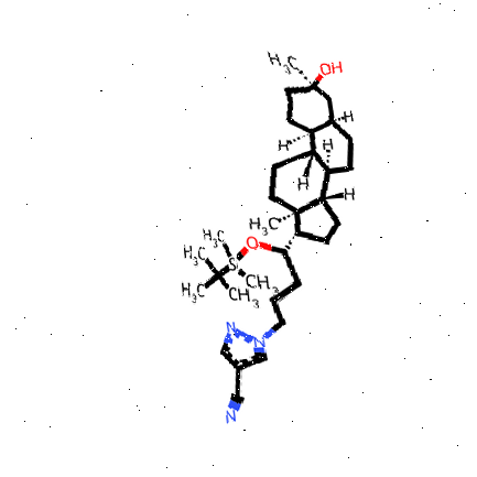 CC(C)(C)[Si](C)(C)OC(CCCn1cc(C#N)cn1)[C@H]1CC[C@H]2[C@@H]3CC[C@@H]4C[C@](C)(O)CC[C@@H]4[C@H]3CC[C@]12C